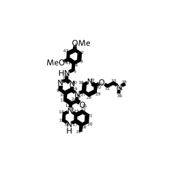 COc1ccc(CNc2ncc3cc(N4CCNc5c(C)cccc54)c(=O)n(-c4ccc(OCCN(C)C)nc4)c3n2)c(OC)c1